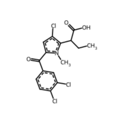 CCC(C(=O)O)c1c(Cl)cc(C(=O)c2ccc(Cl)c(Cl)c2)n1C